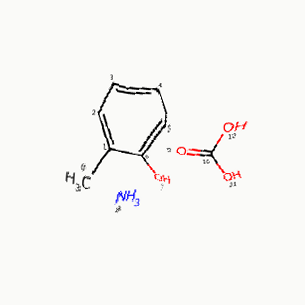 Cc1ccccc1O.N.O=C(O)O